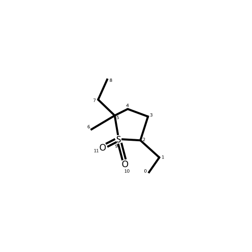 CCC1CCC(C)(CC)S1(=O)=O